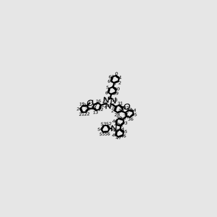 c1ccc(-c2ccc(-c3nc(-c4ccc5c(c4)oc4ccccc45)nc(-c4ccc5c(c4)oc4cccc(-c6ccc7c(c6)c6ccccc6n7-c6ccccc6)c45)n3)cc2)cc1